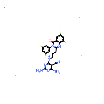 N#Cc1c(N)nc(N)nc1NCCCc1nc2c(F)cc(F)cc2c(=O)n1-c1cc(F)cc(F)c1